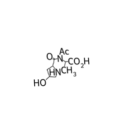 CC(=O)N(C(=O)C1CC(O)CN1)C(C)C(=O)O